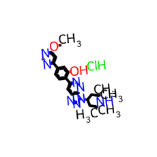 CCOc1cc(-c2ccc(-c3cc4nnn(C5CC(C)(C)NC(C)(C)C5)c4nn3)c(O)c2)ncn1.Cl